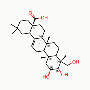 CC1(C)CC[C@]2(C(=O)O)CC[C@]3(C)C(=CCC4[C@@]5(C)C[C@H](O)[C@H](O)[C@@](C)(CO)C5CC[C@]43C)C2C1